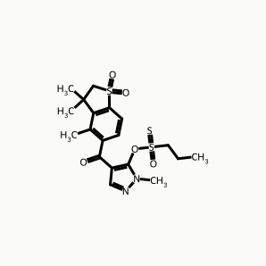 CCCS(=O)(=S)Oc1c(C(=O)c2ccc3c(c2C)C(C)(C)CS3(=O)=O)cnn1C